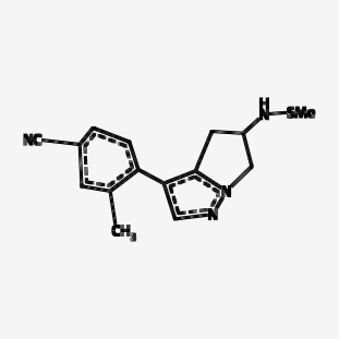 CSNC1Cc2c(-c3ccc(C#N)cc3C)cnn2C1